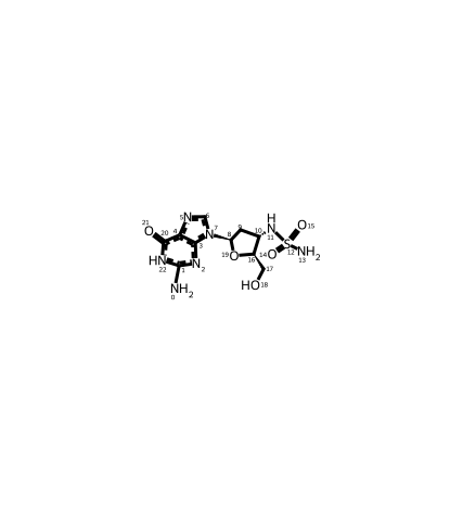 Nc1nc2c(ncn2[C@H]2C[C@H](NS(N)(=O)=O)[C@@H](CO)O2)c(=O)[nH]1